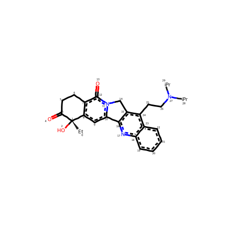 CC[C@@]1(O)C(=O)CCc2c1cc1n(c2=O)Cc2c-1nc1ccccc1c2CCN(C(C)C)C(C)C